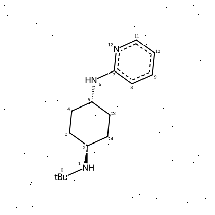 CC(C)(C)N[C@H]1CC[C@H](Nc2ccccn2)CC1